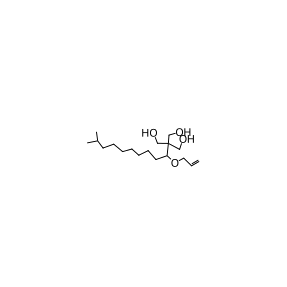 C=CCOC(CCCCCCCC(C)C)C(CO)(CO)CO